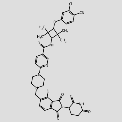 CC1(C)C(NC(=O)c2ccc(N3CCN(Cc4ccc5c(c4F)C(=O)N(C4CCC(=O)NC4=O)C5=O)CC3)nc2)C(C)(C)C1Oc1ccc(C#N)c(Cl)c1